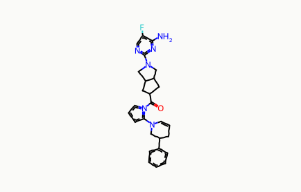 Nc1nc(N2CC3CC(C(=O)n4cccc4N4C=CCC(c5ccccc5)C4)CC3C2)ncc1F